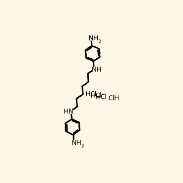 Cl.Cl.Cl.Cl.Nc1ccc(NCCCCCCNc2ccc(N)cc2)cc1